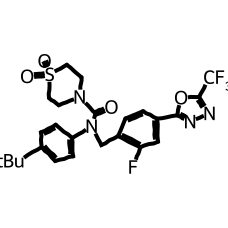 CC(C)(C)c1ccc(N(Cc2ccc(-c3nnc(C(F)(F)F)o3)cc2F)C(=O)N2CCS(=O)(=O)CC2)cc1